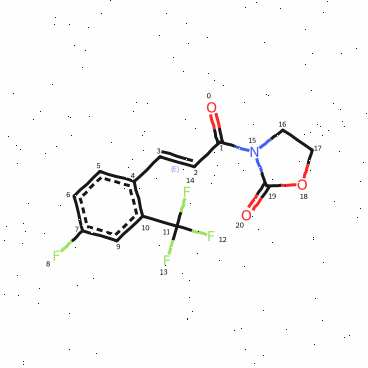 O=C(/C=C/c1ccc(F)cc1C(F)(F)F)N1CCOC1=O